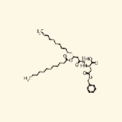 CCCCCCCCCCCC(=O)O[C@H](CCCCCCCCCCC)CC(=O)NN[C@H](CC(=O)OCc1ccccc1)C(=O)O